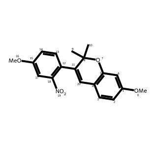 COc1ccc2c(c1)OC(C)(C)C(c1ccc(OC)cc1[N+](=O)[O-])=C2